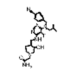 CC(C)CN(Cc1ccc(C#N)cc1)c1ncnc(NCC2CCN(CC(N)=O)CC2O)c1F